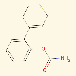 NC(=O)Oc1ccccc1C1=CCSCC1